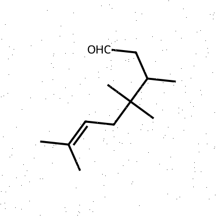 CC(C)=CCC(C)(C)C(C)CC=O